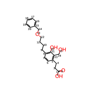 O=C(O)CCc1ccc(CCCCOCc2ccccc2)c(O)c1CO